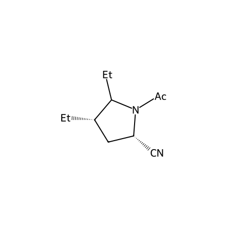 CCC1[C@@H](CC)C[C@@H](C#N)N1C(C)=O